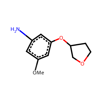 COc1cc(N)cc(OC2CCOC2)c1